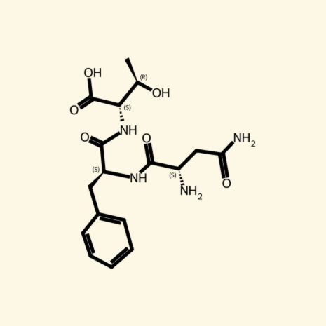 C[C@@H](O)[C@H](NC(=O)[C@H](Cc1ccccc1)NC(=O)[C@@H](N)CC(N)=O)C(=O)O